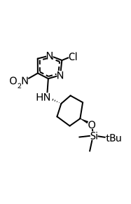 CC(C)(C)[Si](C)(C)O[C@H]1CC[C@H](Nc2nc(Cl)ncc2[N+](=O)[O-])CC1